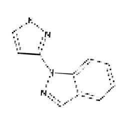 C1=CC(n2ncc3ccccc32)=N[N]1